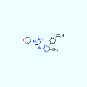 Cc1cnc(N/C(C=N)=C/NC2CCOCC2)nc1-c1ccc(C(=O)O)cc1